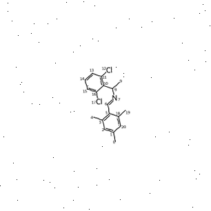 Cc1cc(C)c(C=NC(C)c2c(Cl)cccc2Cl)c(C)c1